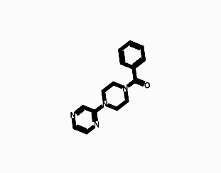 O=C(c1cc[c]cc1)N1CCN(c2cnccn2)CC1